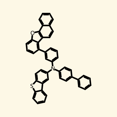 c1ccc(-c2ccc(N(c3cccc(-c4cccc5oc6c7ccccc7ccc6c45)c3)c3ccc4sc5ccccc5c4c3)cc2)cc1